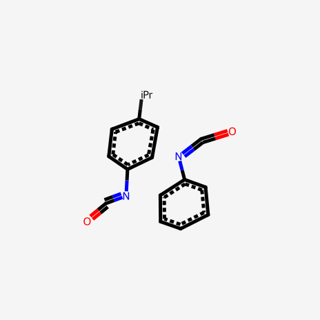 CC(C)c1ccc(N=C=O)cc1.O=C=Nc1ccccc1